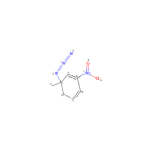 CC1(N=[N+]=[N-])C=C([N+](=O)[O-])C=CC1